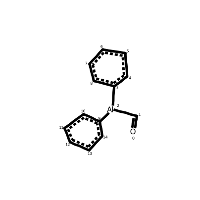 O=[CH][Al]([c]1ccccc1)[c]1ccccc1